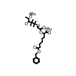 CC(OC(C)(C)C)C(=O)C(C)(C)C(C)(C)OCC(=O)OC(CCCCCC(=O)OCc1ccccc1)C(=O)C(C)(C)C